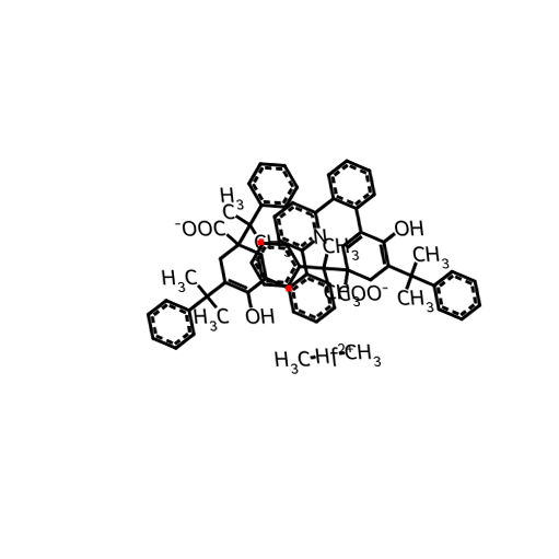 CC(C)(C1=C(O)C(c2ccccc2-c2cccc(-c3ccccc3C3=CC(C(=O)[O-])(C(C)(C)c4ccccc4)CC(C(C)(C)c4ccccc4)=C3O)n2)=CC(C(=O)[O-])(C(C)(C)c2ccccc2)C1)c1ccccc1.[CH3][Hf+2][CH3]